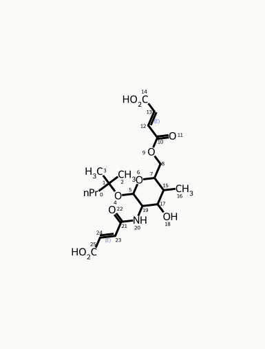 CCCC(C)(C)OC1OC(COC(=O)/C=C/C(=O)O)C(C)C(O)C1NC(=O)/C=C/C(=O)O